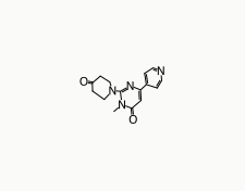 Cn1c(N2CCC(=O)CC2)nc(-c2ccncc2)cc1=O